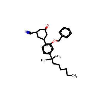 CCCCCCC(C)(C)c1ccc(C2CC(=O)CC(C#N)C2)c(OCc2ccccc2)c1